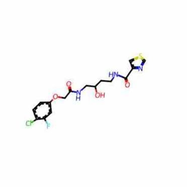 O=C(COc1ccc(Cl)c(F)c1)NCC(O)CCNC(=O)c1cscn1